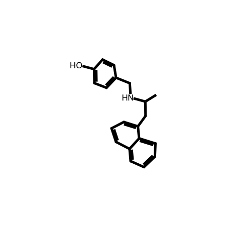 CC(Cc1cccc2ccccc12)NCc1ccc(O)cc1